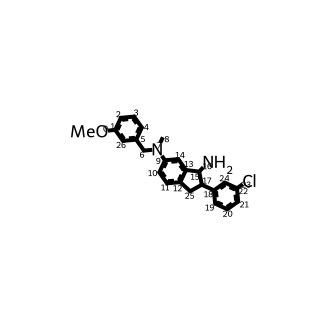 COc1cccc(CN(C)c2ccc3c(c2)C(N)C(c2cccc(Cl)c2)C3)c1